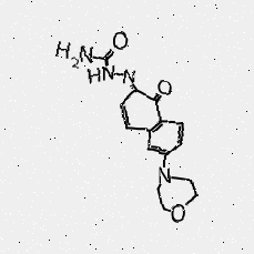 NC(=O)N/N=C1\C=Cc2cc(N3CCOCC3)ccc2C1=O